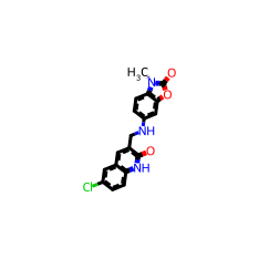 Cn1c(=O)oc2cc(NCc3cc4cc(Cl)ccc4[nH]c3=O)ccc21